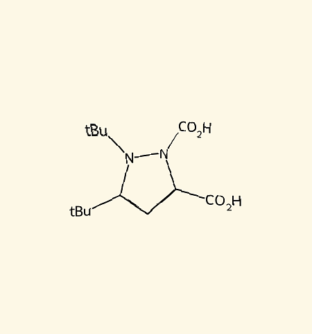 CC(C)(C)C1CC(C(=O)O)N(C(=O)O)N1C(C)(C)C